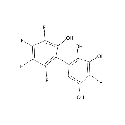 Oc1cc(-c2c(O)c(F)c(F)c(F)c2F)c(O)c(O)c1F